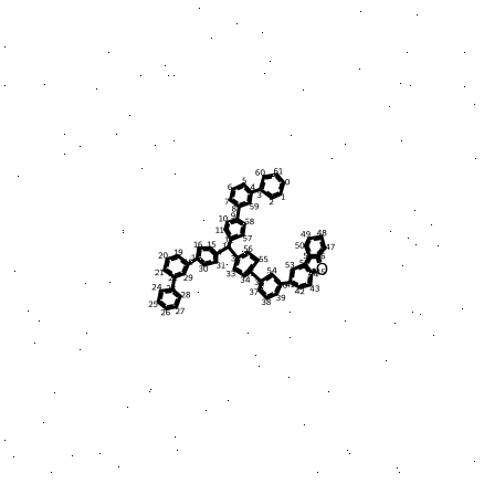 c1ccc(-c2cccc(-c3ccc(C(c4ccc(-c5cccc(-c6ccccc6)c5)cc4)c4ccc(-c5cccc(-c6ccc7oc8ccccc8c7c6)c5)cc4)cc3)c2)cc1